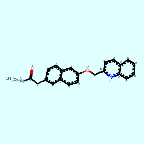 CN(O)C(=O)Cc1ccc2cc(OCc3ccc4ccccc4n3)ccc2c1